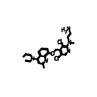 C=CN(/C=C\C)c1cc(C)nc2c(OCc3c(Cl)cnc(N(C)CCN)c3Cl)cccc12